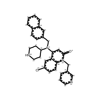 O=c1cc(N(Cc2ccc3ccccc3c2)C2CCNCC2)c2cc(Cl)ccc2n1Cc1cccnc1